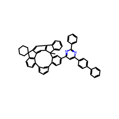 CC12c3cc(-c4cc(-c5ccc(-c6ccccc6)cc5)nc(-c5ccccc5)n4)ccc3-c3cccc(c3)-c3cccc4c3-c3cc1c(cc3C41CCCCC1)-c1ccccc12